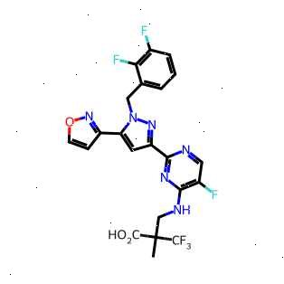 CC(CNc1nc(-c2cc(-c3ccon3)n(Cc3cccc(F)c3F)n2)ncc1F)(C(=O)O)C(F)(F)F